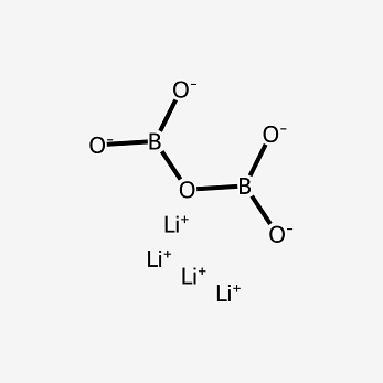 [Li+].[Li+].[Li+].[Li+].[O-]B([O-])OB([O-])[O-]